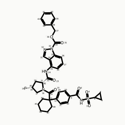 O=C(NS(=O)(=O)C1CC1)c1ccc(C2(C(=O)N3C[C@H](F)C[C@@H]3C(=O)Nc3cccc4c3cnn4C(=O)OCc3ccccc3)CCCCC2)cc1